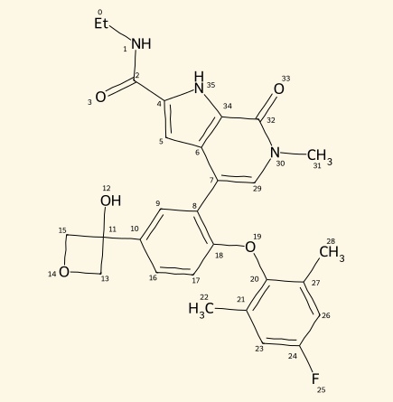 CCNC(=O)c1cc2c(-c3cc(C4(O)COC4)ccc3Oc3c(C)cc(F)cc3C)cn(C)c(=O)c2[nH]1